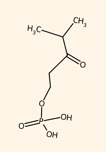 CC(C)C(=O)CCOP(=O)(O)O